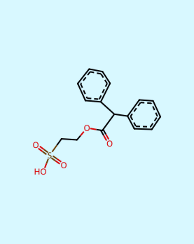 O=C(OCCS(=O)(=O)O)C(c1ccccc1)c1ccccc1